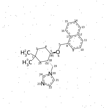 CC1(C)CC[C@@H](OCc2cccc3ccccc23)[C@H](Cn2ccnc2)C1